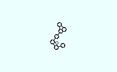 c1ccc(-c2cccc3c2oc2c(-c4ccc(-c5cc6c7c(cccc7c5)-c5ccccc5-6)cc4)cccc23)cc1